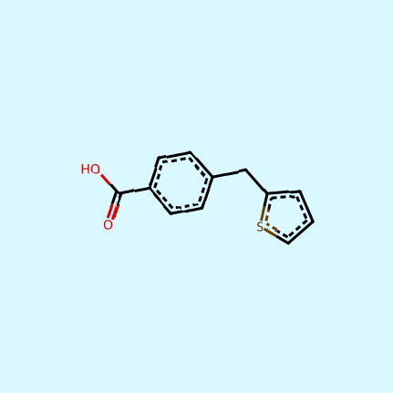 O=C(O)c1ccc(Cc2cccs2)cc1